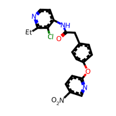 CCc1nccc(NC(=O)Cc2ccc(Oc3ccc([N+](=O)[O-])cn3)cc2)c1Cl